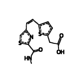 CNC(=O)c1nc(/C=C\c2ccc(CC(=O)O)s2)cs1